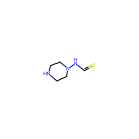 S=CNN1CCNCC1